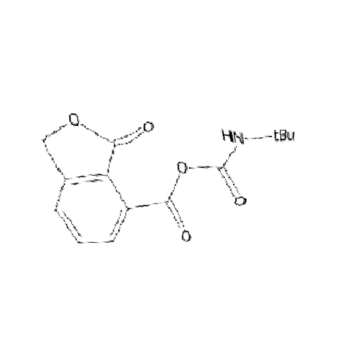 CC(C)(C)NC(=O)OC(=O)c1cccc2c1C(=O)OC2